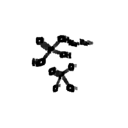 O=P(O)(O)O.O=P([O-])([O-])[O-].[Ba+2].[Na+]